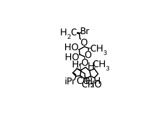 C=C(Br)CO[C@H]1[C@@H](O)[C@H](O)[C@H](OC[C@]23C[C@H]4[C@@H](C)CC[C@@H]4[C@]4(C=O)C[C@H]2C=C(C(C)C)[C@]34C(=O)O)O[C@@H]1C